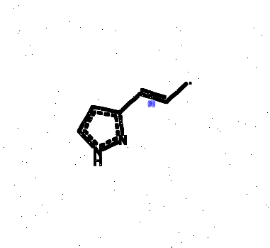 [CH2]/C=C/c1cc[nH]n1